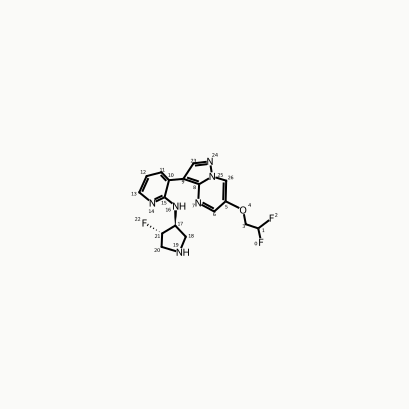 FC(F)COc1cnc2c(-c3cccnc3N[C@H]3CNC[C@@H]3F)cnn2c1